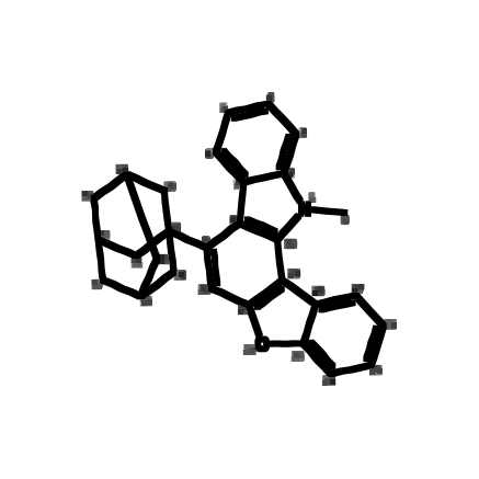 Cn1c2ccccc2c2c(C34CC5CC(CC(C5)C3)C4)cc3oc4ccccc4c3c21